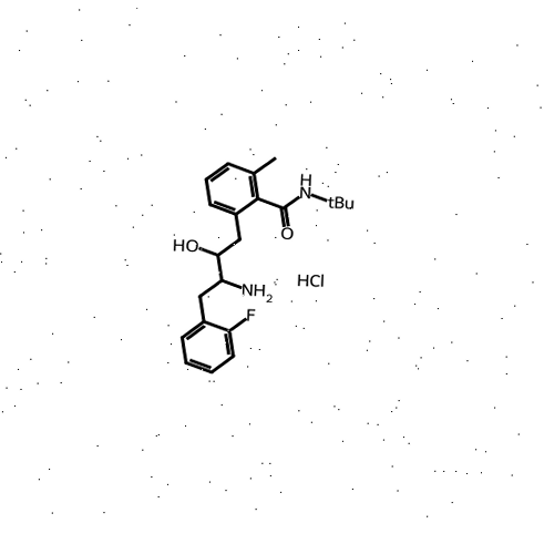 Cc1cccc(CC(O)C(N)Cc2ccccc2F)c1C(=O)NC(C)(C)C.Cl